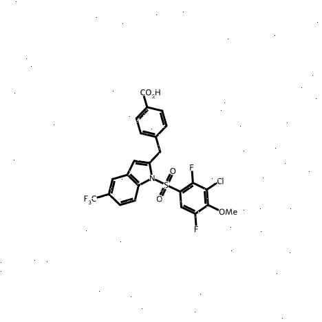 COc1c(F)cc(S(=O)(=O)n2c(Cc3ccc(C(=O)O)cc3)cc3cc(C(F)(F)F)ccc32)c(F)c1Cl